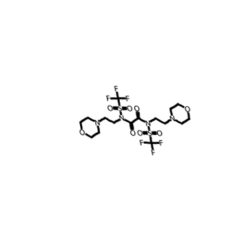 O=C(C(=O)N(CCN1CCOCC1)S(=O)(=O)C(F)(F)F)N(CCN1CCOCC1)S(=O)(=O)C(F)(F)F